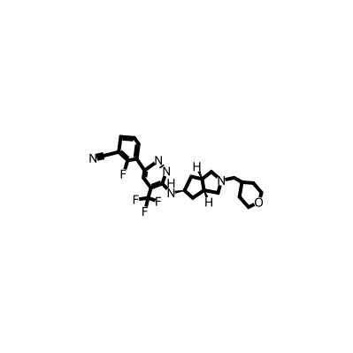 N#Cc1cccc(-c2cc(C(F)(F)F)c(N[C@H]3C[C@@H]4CN(CC5CCOCC5)C[C@@H]4C3)nn2)c1F